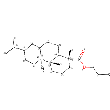 CCCCOC(=O)[C@]1(C)CCC[C@@]2(C)C1CCC1CC(C(C)C)CC[C@@H]12